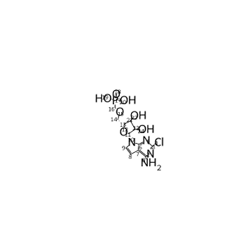 Nc1nc(Cl)nc2c1ccn2[C@@H]1O[C@H](COCP(=O)(O)O)[C@@H](O)[C@H]1O